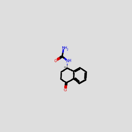 NC(=O)N[C@H]1CCC(=O)c2ccccc21